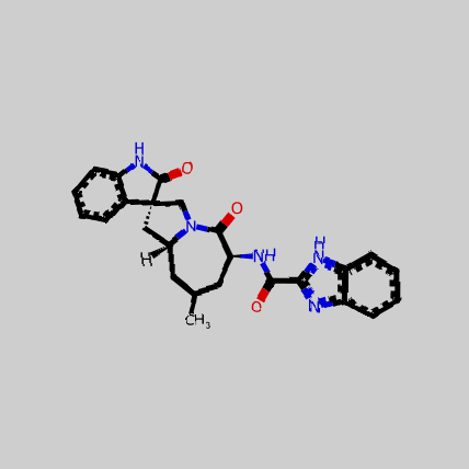 CC1C[C@@H]2C[C@@]3(CN2C(=O)[C@@H](NC(=O)c2nc4ccccc4[nH]2)C1)C(=O)Nc1ccccc13